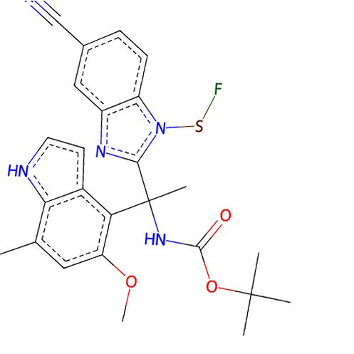 COc1cc(C)c2[nH]ccc2c1C(C)(NC(=O)OC(C)(C)C)c1nc2cc(C#N)ccc2n1SF